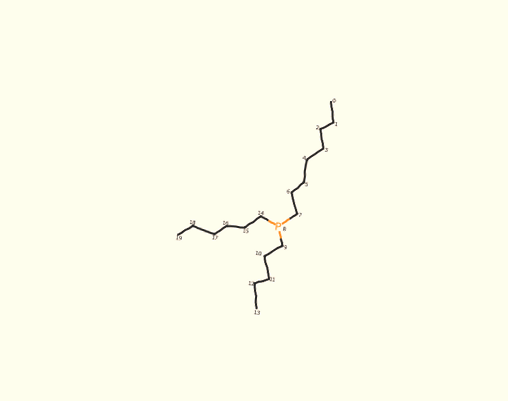 CCCCCCCCP(CCCCC)CCCCCC